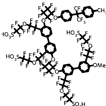 COc1ccc(-c2ccc(OC3(F)C(F)(F)C(F)(F)C3(F)Oc3ccc(-c4ccc(OC5(F)C(F)(F)C(F)(F)C5(F)Oc5ccc(C(c6ccc(C)cc6)(C(F)(F)F)C(F)(F)F)cc5)c(C(F)(F)C(F)(F)OC(F)(F)C(F)(F)S(=O)(=O)O)c4)cc3C(F)(F)C(F)(F)OC(F)(F)C(F)(F)S(=O)(=O)O)c(C(F)(F)C(F)(F)OC(F)(F)C(F)(F)S(=O)(=O)O)c2)cc1C(F)(F)C(F)(F)OC(F)(F)C(F)(F)S(=O)(=O)O